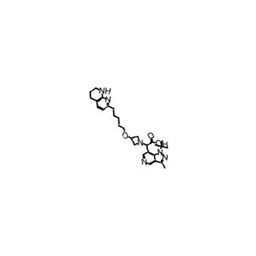 Cc1nn(C(C)(C)C)c2c(C(C(=O)O)N3CC(OCCCCCc4ccc5c(n4)NCCC5)C3)cncc12